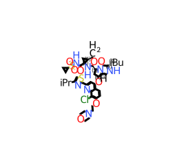 C=C[C@@H]1C[C@]1(NC(=O)[C@@H]1C[C@@H](Oc2cc(-c3nc(C(C)C)cs3)nc3c(Cl)c(OCCN4CCOCC4)ccc23)[C@H]2CN[C@H]([C@@H](C)CC)C(=O)N21)C(=O)NS(=O)(=O)C1CC1